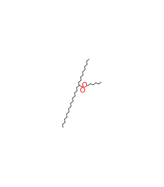 CCCCCCCCCCCCCCCCC(CCCCCCCCCC)C(=O)OCCCCCC